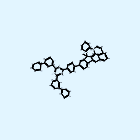 CC1(C)c2cc(-c3ccc(-c4nc(-c5cccc(-c6ccccc6)c5)nc(-c5cccc(-c6ccccc6)c5)n4)cc3)ccc2-c2cc3cccc4c3c(c21)N(c1ccccc1)C=C4